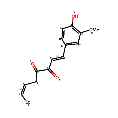 CC/C=C\CC(=O)C(=O)/C=C/c1ccc(O)c(OC)c1